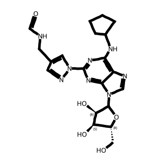 O=CNCc1cnn(-c2nc(NC3CCCC3)c3ncn(C4O[C@H](CO)[C@@H](O)[C@H]4O)c3n2)c1